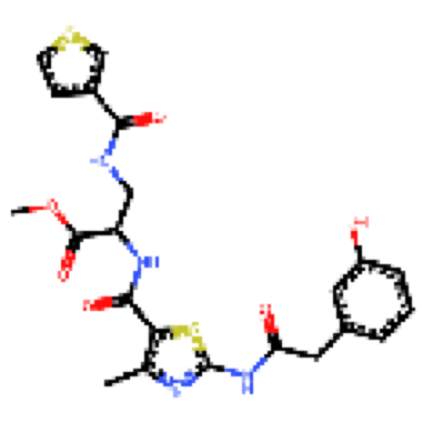 COC(=O)C(CNC(=O)c1ccsc1)NC(=O)c1sc(NC(=O)Cc2cccc(O)c2)nc1C